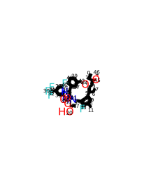 C=C/C(=C\C1=C(/CC)c2cc(C)c(F)c(c2)[C@H](CC(=O)O)NC(=O)[C@@H](n2ccc(C(F)(F)F)cc2=O)c2cc(ccc2F)CO1)OC